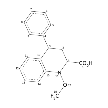 O=C(O)C1CC(c2ccccc2)c2ccccc2N1OC(F)(F)F